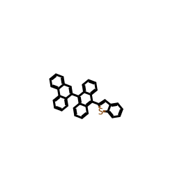 c1ccc2sc(-c3c4ccccc4c(-c4cc5ccccc5c5ccccc45)c4ccccc34)cc2c1